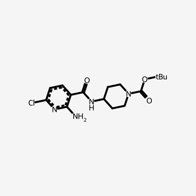 CC(C)(C)OC(=O)N1CCC(NC(=O)c2ccc(Cl)nc2N)CC1